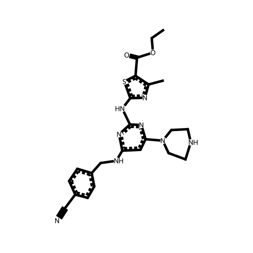 CCOC(=O)c1sc(Nc2nc(NCc3ccc(C#N)cc3)cc(N3CCNCC3)n2)nc1C